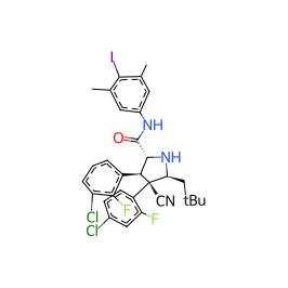 Cc1cc(NC(=O)[C@@H]2N[C@@H](CC(C)(C)C)[C@](C#N)(c3ccc(Cl)cc3F)[C@H]2c2cccc(Cl)c2F)cc(C)c1I